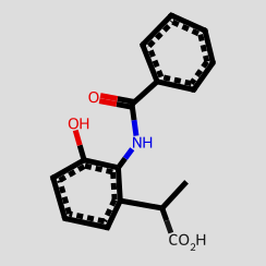 CC(C(=O)O)c1cccc(O)c1NC(=O)c1ccccc1